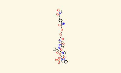 CCC(C)C(C(CC(=O)N1CCC[C@H]1C(OC)C(C)C(=O)NC(Cc1ccccc1)C(=O)O)OC)N(C)C(=O)C(NC(=O)C(C)(C)N(C)C(=O)CCOCCOCCC(=O)Nc1ccc(CCC(=O)N2CCC2=O)cc1)C(C)C